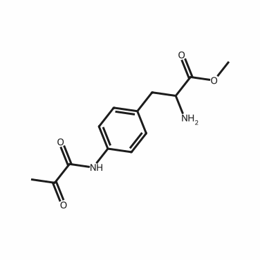 COC(=O)C(N)Cc1ccc(NC(=O)C(C)=O)cc1